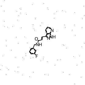 O=C(C=Cc1n[nH]c2ncccc12)NCc1cccc(F)c1